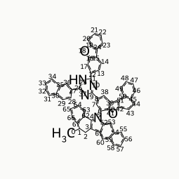 CC1Cc2c(n(-c3cc(C4=NC(c5ccc6c(c5)oc5ccccc56)NC(c5ccc6ccccc6c5)=N4)cc4c3oc3ccc5ccccc5c34)c3cc4ccccc4cc23)-c2ccccc21